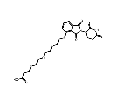 O=C(O)CCOCCOCCOCCSc1cccc2c1C(=O)N(C1CCC(=O)NC1=O)C2=O